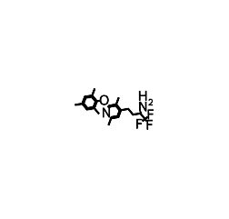 Cc1cc(C)c(Oc2nc(C)cc(CCC(N)C(F)(F)F)c2C)c(C)c1